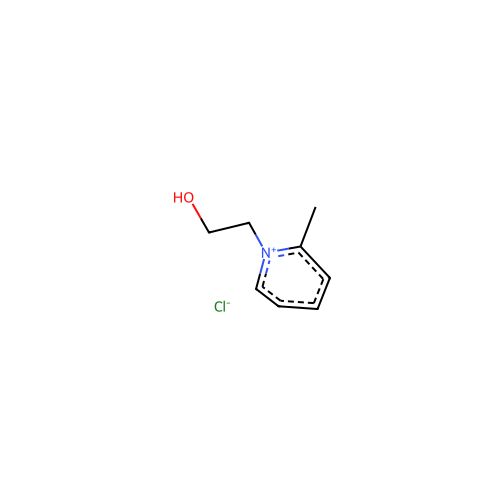 Cc1cccc[n+]1CCO.[Cl-]